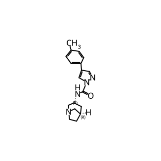 Cc1ccc(-c2cnn(C(=O)N[C@@H]3C[C@H]4CCN(C4)C3)c2)cc1